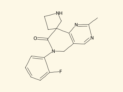 Cc1ncc2c(n1)C1(CCNC1)C(=O)N(c1ccccc1F)C2